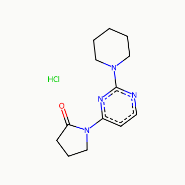 Cl.O=C1CCCN1c1ccnc(N2CCCCC2)n1